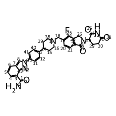 NC(=O)c1cccc2cn(-c3ccc(C4CCN(Cc5ccc6c(c5F)CN(C5CCC(=O)NC5=O)C6=O)CC4)cc3)nc12